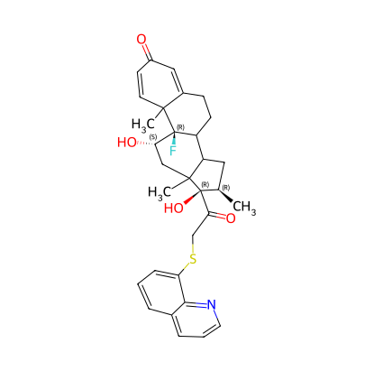 C[C@@H]1CC2C3CCC4=CC(=O)C=CC4(C)[C@@]3(F)[C@@H](O)CC2(C)[C@@]1(O)C(=O)CSc1cccc2cccnc12